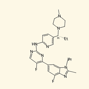 CC[C@H](c1ccc(Nc2ncc(F)c(-c3cc(F)c4nc(C)n(C(C)C)c4c3)n2)nc1)N1CCN(C)CC1